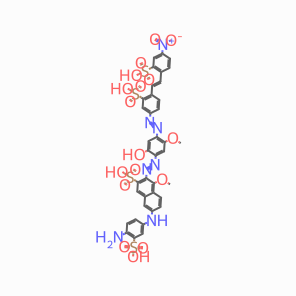 COc1cc(N=Nc2c(S(=O)(=O)O)cc3cc(Nc4ccc(N)c(S(=O)(=O)O)c4)ccc3c2OC)c(O)cc1N=Nc1ccc(C=Cc2ccc([N+](=O)[O-])cc2S(=O)(=O)O)c(S(=O)(=O)O)c1